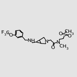 CN(CCS(C)(=O)=O)C(=O)CN1CC2C(CNCc3cccc(OC(F)(F)F)c3)C2C1